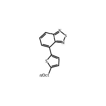 CCCCCCCCc1ccc(-c2cccc3nsnc23)s1